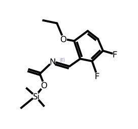 C=C(/N=C/c1c(OCC)ccc(F)c1F)O[Si](C)(C)C